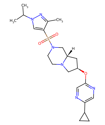 Cc1nn(C(C)C)cc1S(=O)(=O)N1CCN2C[C@H](Oc3cnc(C4CC4)cn3)C[C@H]2C1